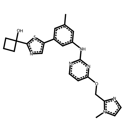 Cc1cc(Nc2nccc(OCc3nccn3C)n2)cc(-c2cnc(C3(O)CCC3)s2)c1